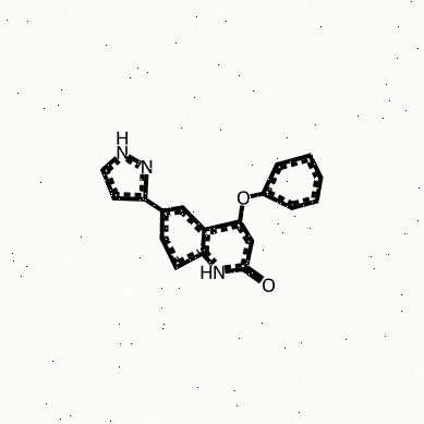 O=c1cc(Oc2ccccc2)c2cc(-c3cc[nH]n3)ccc2[nH]1